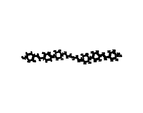 CN1C=CC(/C=C/c2ccc(N3CCN(CCSSCCN4CCN(c5ccc(/C=C/c6cc[n+](C)cc6)cc5)CC4)CC3)cc2)=CC1